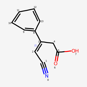 N#C/C=C(\CC(=O)O)c1ccccc1